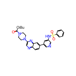 CC(C)COC(=O)N1CCN(c2cnc3ccc(-c4cncc(NS(=O)(=O)c5ccccc5)c4)cc3n2)CC1